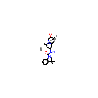 CC.CC1(C)CN(C(=O)NC2CC3C[C@H]4C[C@H](C2)N3CC4=O)c2ccccc21